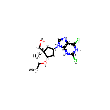 COCO[C@H]1C[C@H](n2cnc3c(Cl)nc(Cl)nc32)C[C@]1(C)CO